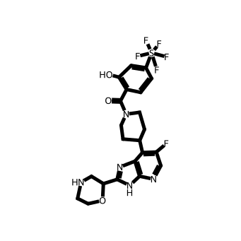 O=C(c1ccc(S(F)(F)(F)(F)F)cc1O)N1CCC(c2c(F)cnc3[nH]c(C4CNCCO4)nc23)CC1